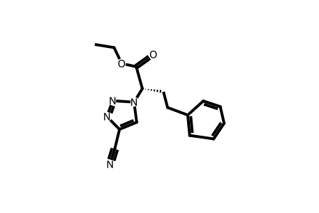 CCOC(=O)[C@H](CCc1ccccc1)n1cc(C#N)nn1